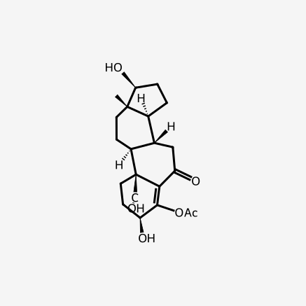 CC(=O)OC1=C2C(=O)C[C@@H]3[C@H](CC[C@]4(C)[C@@H](O)CC[C@@H]34)[C@@]2(CO)CC[C@@H]1O